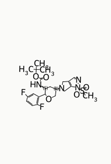 CC(C)(C)OC(=O)N[C@H]1C[C@@H](N2Cc3cnn(S(C)(=O)=O)c3C2)COC1c1cc(F)ccc1F